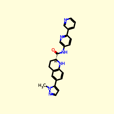 Cn1nccc1-c1ccc2c(c1)CC[C@H](C(=O)Nc1ccc(-c3cccnc3)nc1)N2